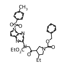 CCOC(=O)N(CC(=O)C1CN(C(=O)OCc2ccccc2)CC1CC)c1cnc2c(ccn2S(=O)(=O)c2ccc(C)cc2)n1